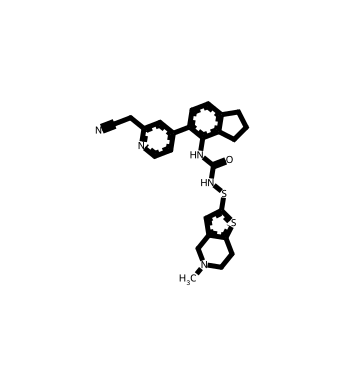 CN1CCc2sc(SNC(=O)Nc3c(-c4ccnc(CC#N)c4)ccc4c3CCC4)cc2C1